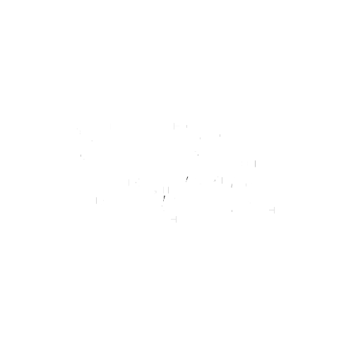 CC(=O)OC1C[C@@](O)(OC(C)=O)CC2=CC[C@H]3[C@@H]4CC[C@H]([C@H](C)CCCC(C)(C)O)[C@@]4(C)CC[C@@H]3[C@]21C